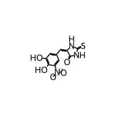 O=C1NC(=S)N/C1=C/c1cc(O)c(O)c([N+](=O)[O-])c1